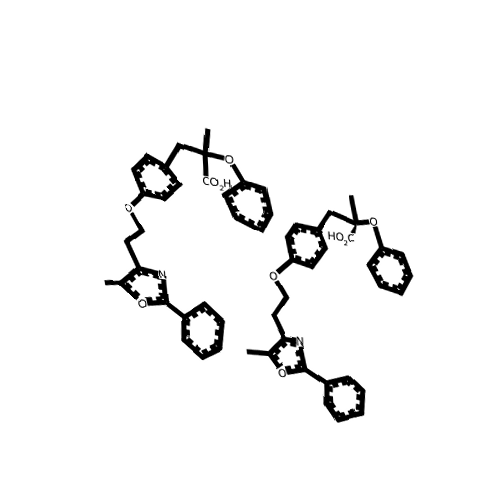 Cc1oc(-c2ccccc2)nc1CCOc1ccc(CC(C)(Oc2ccccc2)C(=O)O)cc1.Cc1oc(-c2ccccc2)nc1CCOc1ccc(C[C@](C)(Oc2ccccc2)C(=O)O)cc1